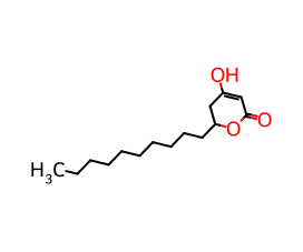 CCCCCCCCCCC1CC(O)=CC(=O)O1